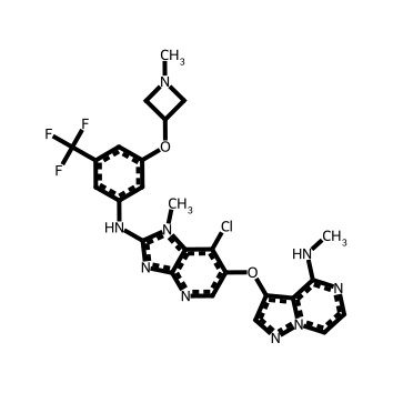 CNc1nccn2ncc(Oc3cnc4nc(Nc5cc(OC6CN(C)C6)cc(C(F)(F)F)c5)n(C)c4c3Cl)c12